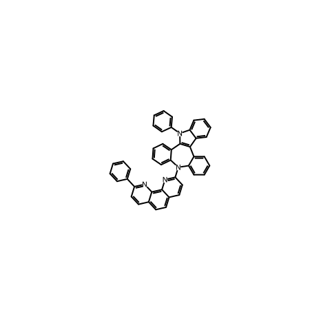 c1ccc(-c2ccc3ccc4ccc(N5c6ccccc6-c6c(n(-c7ccccc7)c7ccccc67)-c6ccccc65)nc4c3n2)cc1